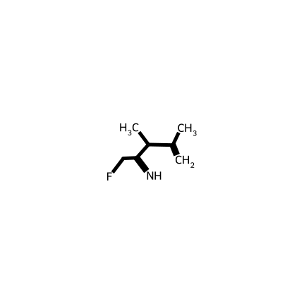 C=C(C)C(C)C(=N)CF